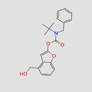 CC(C)(C)N(Cc1ccccc1)C(=O)Oc1cc2c(CO)cccc2o1